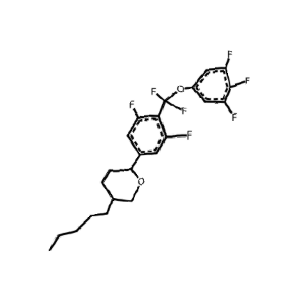 CCCCCC1CCC(c2cc(F)c(C(F)(F)Oc3cc(F)c(F)c(F)c3)c(F)c2)OC1